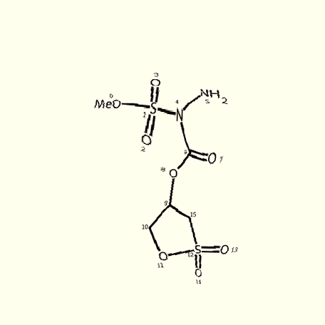 COS(=O)(=O)N(N)C(=O)OC1COS(=O)(=O)C1